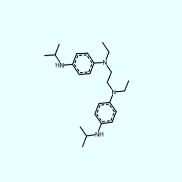 CCN(CCN(CC)c1ccc(NC(C)C)cc1)c1ccc(NC(C)C)cc1